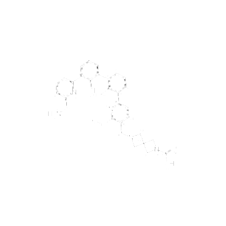 COc1nc(-c2cccc(-c3cccc(-c4cccc(CN)n4)c3Cl)c2Cl)ccc1CN1CC2(C1)CN(C(C)=O)C2